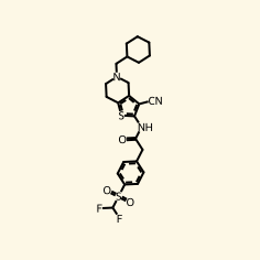 N#Cc1c(NC(=O)Cc2ccc(S(=O)(=O)C(F)F)cc2)sc2c1CN(CC1CCCCC1)CC2